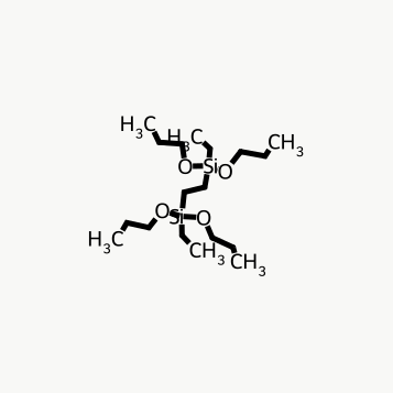 CCCO[Si](CC)(CC[Si](CC)(OCCC)OCCC)OCCC